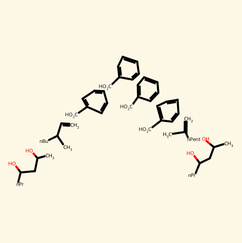 C=C(C)CCCCC.C=CC(C)CCCC.CCCC(O)CC(C)O.CCCC(O)CC(C)O.O=C(O)c1ccccc1.O=C(O)c1ccccc1.O=C(O)c1ccccc1.O=C(O)c1ccccc1